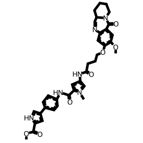 COC(=O)c1cc(-c2ccc(NC(=O)c3cc(NC(=O)CCCOc4cc5c(cc4OC)C(=O)N4CCCCC4C=N5)cn3C)cc2)c[nH]1